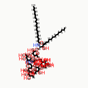 CCCCCCCCCCCCC/C=C/[C@@H](O)[C@H](CO[C@@H]1OC(CO)[C@@H](O[C@@H]2OC(CO)[C@H](O)[C@H](O[C@@H]3OC(CO)[C@@H](O[C@H]4OC(C)[C@@H](O)C(O)[C@@H]4O)[C@H](O[C@@H]4OC(CO)[C@H](O)[C@H](O[C@H]5OC(CO)[C@H](O)[C@H](O)C5O)C4O[C@H]4OC(C)[C@@H](O)C(O)[C@@H]4O)C3NC(C)=O)C2O)[C@H](O)C1O)NC(=O)CCCCCCCCCCCCCCCCCCC